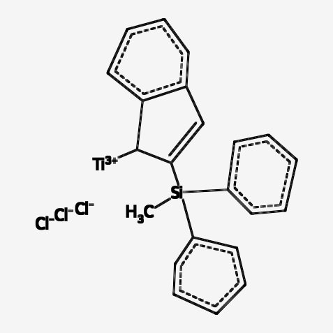 C[Si](C1=Cc2ccccc2[CH]1[Ti+3])(c1ccccc1)c1ccccc1.[Cl-].[Cl-].[Cl-]